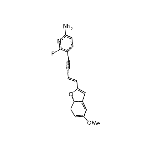 COC1=CCC2OC(/C=C/C#Cc3ccc(N)nc3F)=CC2=C1